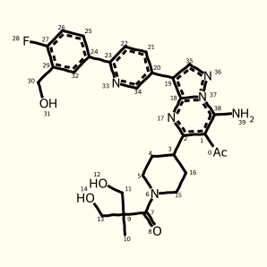 CC(=O)c1c(C2CCN(C(=O)C(C)(CO)CO)CC2)nc2c(-c3ccc(-c4ccc(F)c(CO)c4)nc3)cnn2c1N